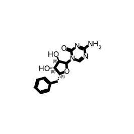 Nc1ncn(C2O[C@H](Cc3cc[c]cc3)[C@H](O)[C@H]2O)c(=O)n1